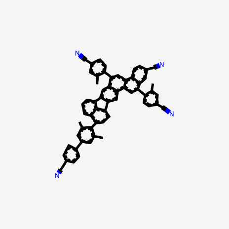 Cc1cc(C#N)ccc1-c1cc2c3cc4c(cc3c(-c3ccc(C#N)cc3C)cc2c2ccc(C#N)cc12)-c1cccc2c(-c3c(C)cc(-c5ccc(C#N)cc5)cc3C)ccc-4c12